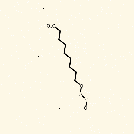 O=C(O)CCCCCCCCOOOO